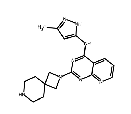 Cc1cc(Nc2nc(N3CC4(CCNCC4)C3)nc3ncccc23)[nH]n1